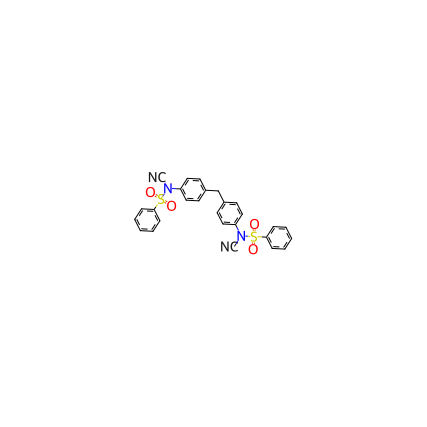 N#CN(c1ccc(Cc2ccc(N(C#N)S(=O)(=O)c3ccccc3)cc2)cc1)S(=O)(=O)c1ccccc1